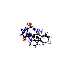 CNC(=O)N1CCCC12C1=CCC=CC1C1NC(=O)c3nccn3C12